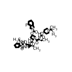 C=C[C@@H]1C[C@]1(NC(=O)[C@@H]1C[C@@H](OC(=O)N2Cc3cccc(F)c3C2)CN1C(=O)[C@H](CC)NC(=O)OC1CCN(C(C)C)CC1)C(=O)NS(=O)(=O)c1ccccc1NC